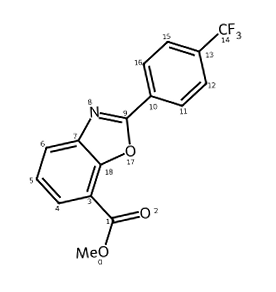 COC(=O)c1cccc2nc(-c3ccc(C(F)(F)F)cc3)oc12